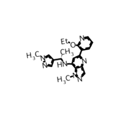 CCOc1ncccc1-c1cc(N[C@@H](C)c2cnn(C)c2)c2c(cnn2C)n1